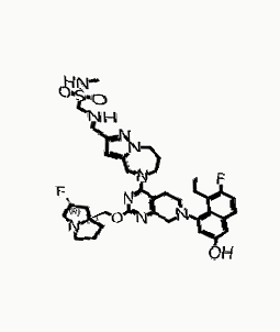 CCc1c(F)ccc2cc(O)cc(N3CCc4c(nc(OC[C@@]56CCCN5C[C@H](F)C6)nc4N4CCCn5nc(CNCS(=O)(=O)NC)cc5C4)C3)c12